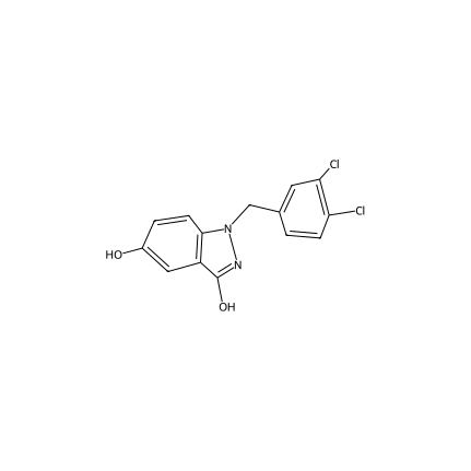 Oc1ccc2c(c1)c(O)nn2Cc1ccc(Cl)c(Cl)c1